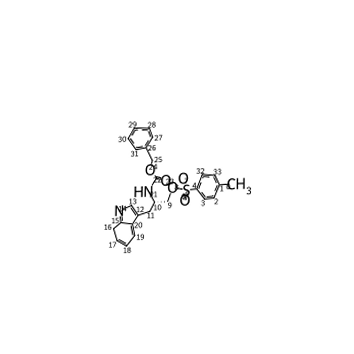 Cc1ccc(S(=O)(=O)OC[C@H](CC2=CN=C3CC=CC=C23)NC(=O)OCc2ccccc2)cc1